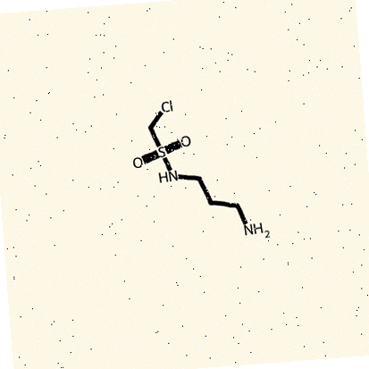 NCCCNS(=O)(=O)CCl